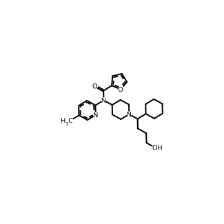 Cc1ccc(N(C(=O)c2ccco2)C2CCN(C(CCCO)C3CCCCC3)CC2)nc1